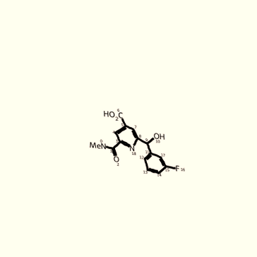 CNC(=O)c1cc(C(=O)O)cc(C(O)c2cccc(F)c2)n1